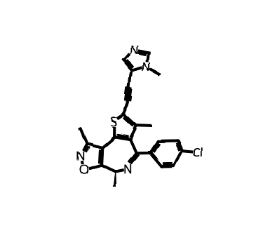 Cc1noc2c1-c1sc(C#Cc3cncn3C)c(C)c1C(c1ccc(Cl)cc1)=N[C@H]2C